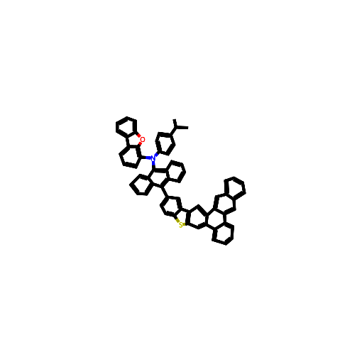 CC(C)c1ccc(N(c2c3ccccc3c(-c3ccc4sc5cc6c7ccccc7c7cc8ccccc8cc7c6cc5c4c3)c3ccccc23)c2cccc3c2oc2ccccc23)cc1